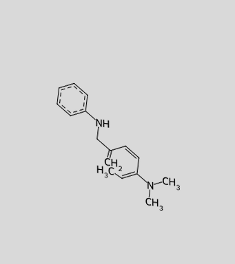 C=C(/C=C\C(=C/C)N(C)C)CNc1ccccc1